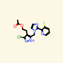 CC(=O)OCCc1c(Cl)n[nH]c1Cn1ccnc1-c1ncccc1F